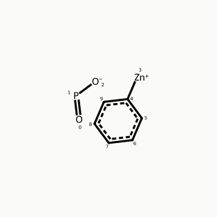 O=P[O-].[Zn+][c]1ccccc1